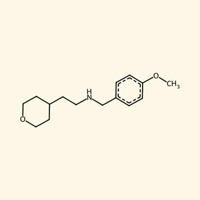 COc1ccc(CNCCC2CCOCC2)cc1